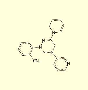 N#Cc1ccccc1N1CN(c2cccnc2)CC(N2C=CC=CC2)=N1